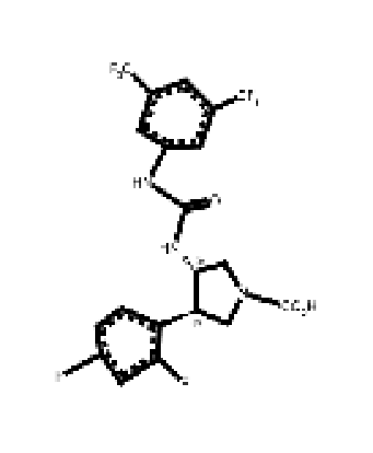 O=C(Nc1cc(C(F)(F)F)cc(C(F)(F)F)c1)N[C@@H]1CN(C(=O)O)C[C@H]1c1ccc(F)cc1F